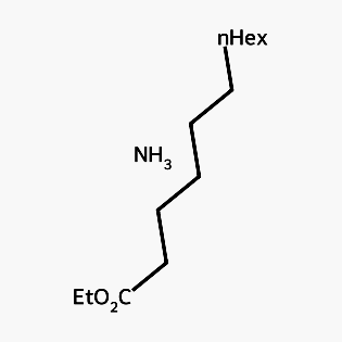 CCCCCCCCCCCC(=O)OCC.N